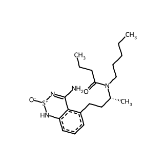 CCCCCN(C(=O)CCC)[C@H](C)CCc1cccc2c1C(N)=N[S+]([O-])N2